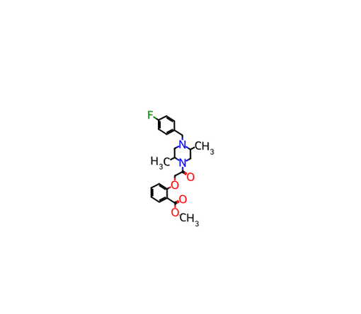 COC(=O)c1ccccc1OCC(=O)N1CC(C)N(Cc2ccc(F)cc2)CC1C